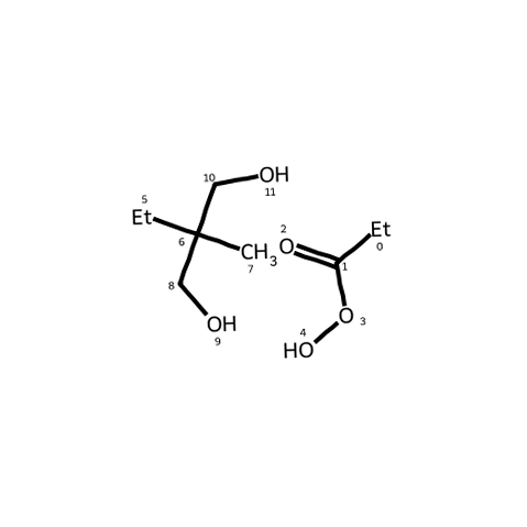 CCC(=O)OO.CCC(C)(CO)CO